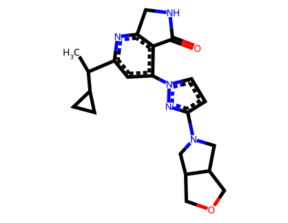 CC(c1cc(-n2ccc(N3CC4COCC4C3)n2)c2c(n1)CNC2=O)C1CC1